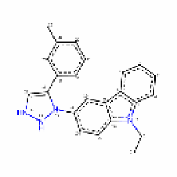 CCn1c2ccccc2c2cc(N3NNC=C3c3cccc(C)c3)ccc21